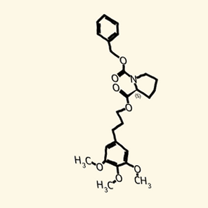 COc1cc(CCCOC(=O)[C@@H]2CCCCN2C(=O)OCc2ccccc2)cc(OC)c1OC